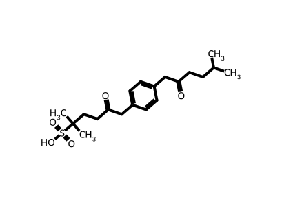 CC(C)CCC(=O)Cc1ccc(CC(=O)CCC(C)(C)S(=O)(=O)O)cc1